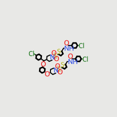 O=C(NCc1ccc(S(=O)(=O)N2CCC(C(=O)c3ccc(Cl)cc3)CC2)s1)c1ccc(Cl)cc1.O=C(NCc1ccc(S(=O)(=O)N2CCC(Oc3ccccc3)CC2)s1)c1ccc(Cl)cc1